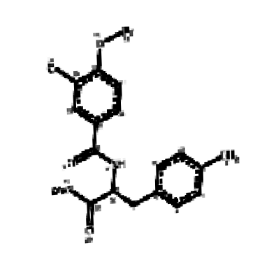 Bc1ccc(C[C@H](NC(=O)c2ccc(OC(C)C)c(Cl)c2)C(=O)NC)cc1